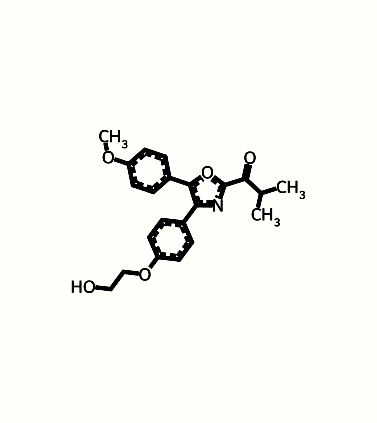 COc1ccc(-c2oc(C(=O)C(C)C)nc2-c2ccc(OCCO)cc2)cc1